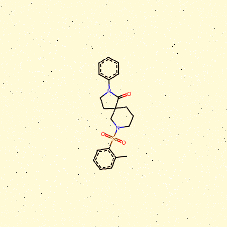 Cc1ccccc1S(=O)(=O)N1CCCC2(CCN(c3ccccc3)C2=O)C1